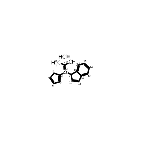 C[C](C)=[Zr]([C]1=CC=CC1)[CH]1C=Cc2ccccc21.Cl